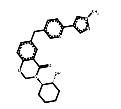 Cn1cc(-c2ccc(Cc3ccc4c(c3)C(=O)N([C@@H]3CCCC[C@H]3O)CO4)cn2)cn1